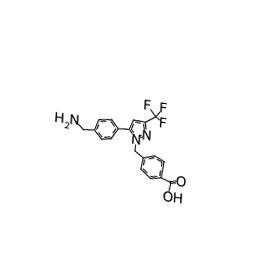 NCc1ccc(-c2cc(C(F)(F)F)nn2Cc2ccc(C(=O)O)cc2)cc1